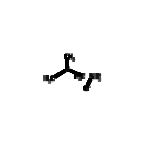 CN(C)C.[NH3+][O-]